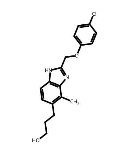 Cc1c(CCCO)ccc2[nH]c(COc3ccc(Cl)cc3)nc12